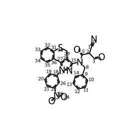 N#CC(C=O)C(=O)N(Cc1ccccc1)c1nn(-c2cccc([N+](=O)[O-])c2)c2c1CSc1ccccc1-2